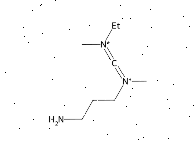 CC[N+](C)=C=[N+](C)CCCN